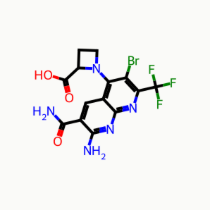 NC(=O)c1cc2c(N3CCC3C(=O)O)c(Br)c(C(F)(F)F)nc2nc1N